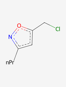 CCCc1cc(CCl)on1